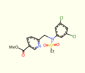 CCS(=O)(=O)N(Cc1ccc(C(=O)OC)cn1)c1cc(Cl)cc(Cl)c1